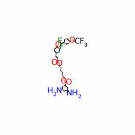 Nc1cc(N)cc(C(=O)OCCCCCCOC(=O)C=Cc2ccc(OC(F)(F)c3ccc(OCC(F)(F)F)cc3)cc2)c1